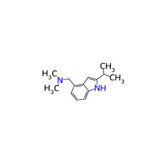 CC(C)c1cc2c(CN(C)C)cccc2[nH]1